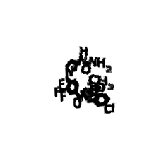 CCS(=O)(=O)c1ccc(Cl)cc1CNC(=O)c1ccc(CN2CC[C@@H](NC(N)=O)C2)c(C(F)(F)F)c1